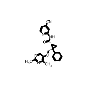 Cc1ncc(OC[C@@]2(C3C=CC=CC3)C[C@H]2C(=O)Nc2cc(C#N)ccn2)c(C)n1